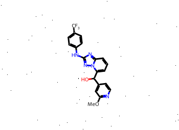 COc1cc(C(O)c2cccc3nc(Nc4ccc(C(F)(F)F)cc4)nn23)ccn1